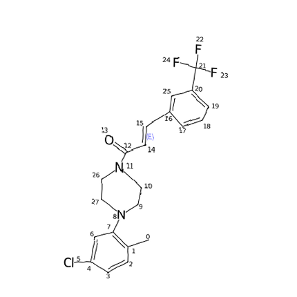 Cc1ccc(Cl)cc1N1CCN(C(=O)/C=C/c2cccc(C(F)(F)F)c2)CC1